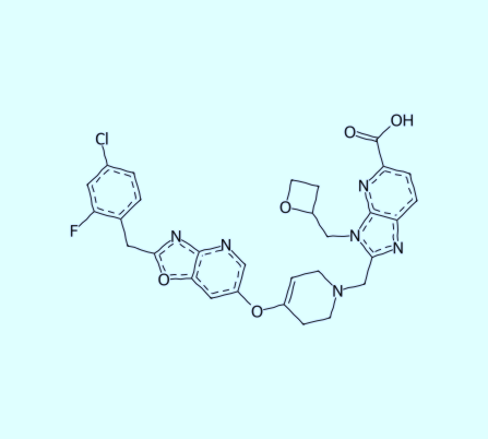 O=C(O)c1ccc2nc(CN3CC=C(Oc4cnc5nc(Cc6ccc(Cl)cc6F)oc5c4)CC3)n(CC3CCO3)c2n1